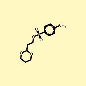 Cc1ccc(S(=O)(=O)OCCC2OCCCO2)cc1